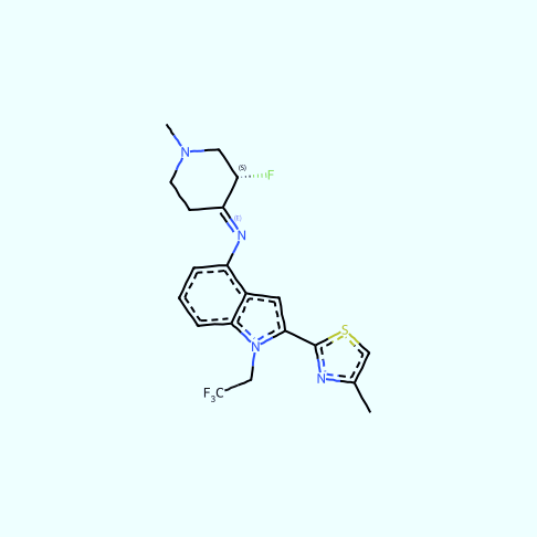 Cc1csc(-c2cc3c(/N=C4\CCN(C)C[C@@H]4F)cccc3n2CC(F)(F)F)n1